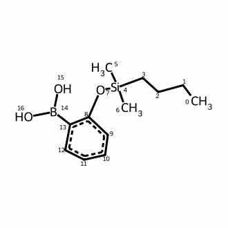 CCCC[Si](C)(C)Oc1ccccc1B(O)O